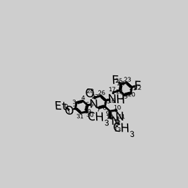 CCOc1ccc(-n2cc(-c3cnn(C)c3)c(NCc3ccc(F)cc3F)cc2=O)c(C)c1